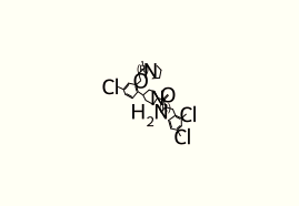 C[C@H](COc1cc(Cl)ccc1C1CCN(C(=O)[C@H](N)Cc2ccc(Cl)cc2Cl)CC1)N1CCCC1